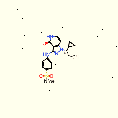 CNS(=O)(=O)c1ccc(Nc2nn([C@@H](CC#N)C3CC3)c3cc[nH]c(=O)c23)cc1